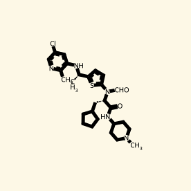 Cc1ncc(Cl)cc1N[C@@H](C)c1ccc(N(C=O)[C@@H](CC2CCCC2)C(=O)NC2CCN(C)CC2)s1